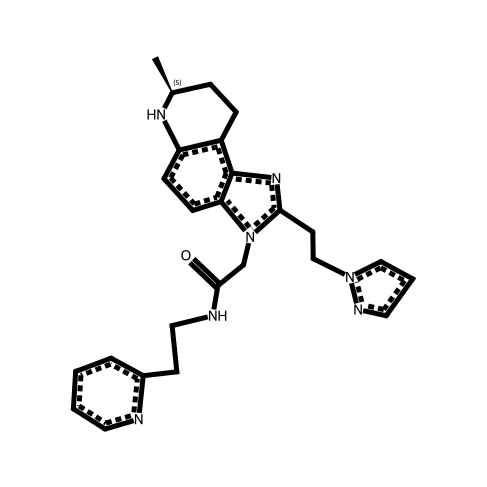 C[C@H]1CCc2c(ccc3c2nc(CCn2cccn2)n3CC(=O)NCCc2ccccn2)N1